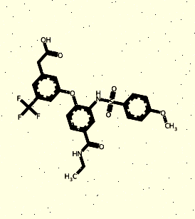 CCNC(=O)c1ccc(Oc2cc(CC(=O)O)cc(C(F)(F)F)c2)c(NS(=O)(=O)c2ccc(OC)cc2)c1